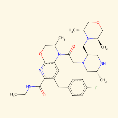 CCNC(=O)c1nc2c(cc1Cc1ccc(F)cc1)N(C(=O)CN1C[C@@H](C)NC[C@@H]1CN1[C@H](C)COC[C@H]1C)C(C)CO2